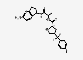 CC(NC(=O)[C@H]1CC(C(F)(F)c2ccc(F)cc2)CN1)C(=O)NC1CCc2nc(N)ccc21